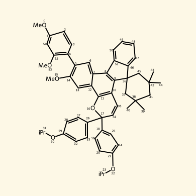 COc1ccc(-c2cc3c4c(c5c(c3cc2OC)OC(c2ccc(OC(C)C)cc2)(c2ccc(OC(C)C)cc2)C=C5)C2(CC(C)(C)CC(C)(C)C2)c2ccccc2-4)c(OC)c1